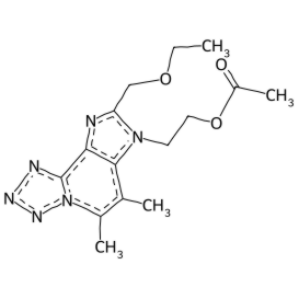 CCOCc1nc2c(c(C)c(C)n3nnnc23)n1CCOC(C)=O